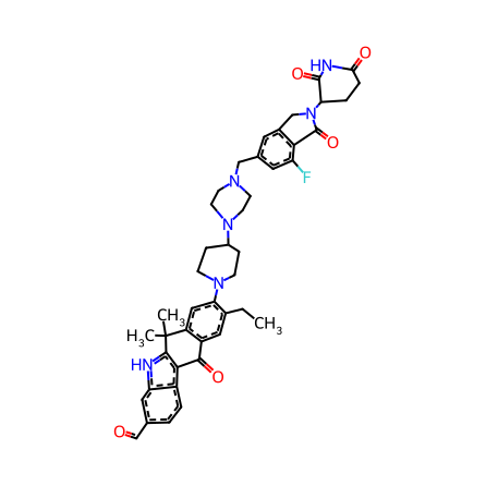 CCc1cc2c(cc1N1CCC(N3CCN(Cc4cc(F)c5c(c4)CN(C4CCC(=O)NC4=O)C5=O)CC3)CC1)C(C)(C)c1[nH]c3cc(C=O)ccc3c1C2=O